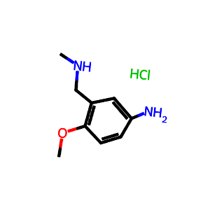 CNCc1cc(N)ccc1OC.Cl